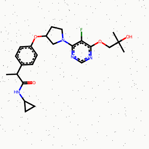 CC(C(=O)NC1CC1)c1ccc(OC2CCN(c3ncnc(OCC(C)(C)O)c3F)C2)cc1